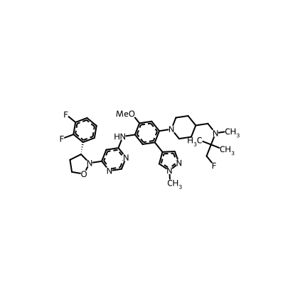 COc1cc(N2CCC(CN(C)C(C)(C)CF)CC2)c(-c2cnn(C)c2)cc1Nc1cc(N2OCC[C@@H]2c2cccc(F)c2F)ncn1